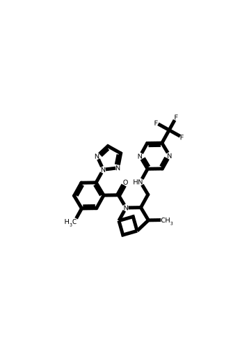 Cc1ccc(-n2nccn2)c(C(=O)N2C3CC(C3)C(C)C2CNc2cnc(C(F)(F)F)cn2)c1